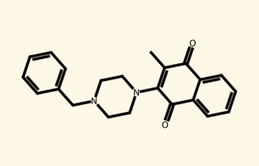 CC1=C(N2CCN(Cc3ccccc3)CC2)C(=O)c2ccccc2C1=O